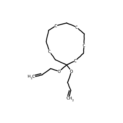 C=CCOC1(OCC=C)CCCCCCCCCCC1